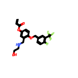 C=CC(=O)Oc1ccc(OCc2ccc(F)c(C(F)(F)F)c2)c(CNCCO)c1